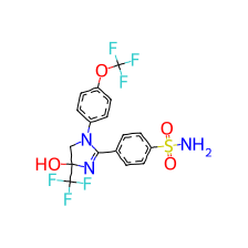 NS(=O)(=O)c1ccc(C2=NC(O)(C(F)(F)F)CN2c2ccc(OC(F)(F)F)cc2)cc1